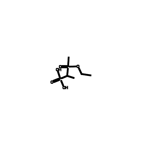 CCOP(C)(=O)C(C)P(=O)(O)O